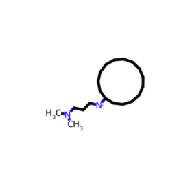 CN(C)CCC[N]C1CCCCCCCCCCCCCC1